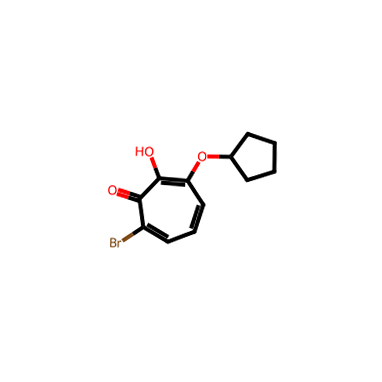 O=c1c(Br)cccc(OC2CCCC2)c1O